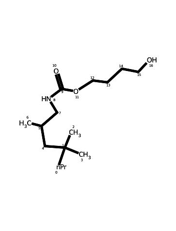 CCCC(C)(C)CC(C)CNC(=O)OCCCCO